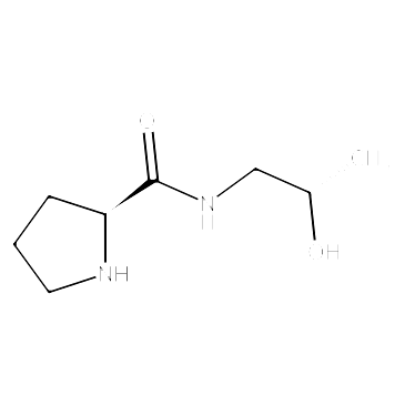 C[C@H](O)CNC(=O)[C@@H]1CCCN1